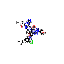 CCc1c(N2CCN(C(=O)C(C)n3cncn3)CC2)c(=O)n2nc(C3=CCOCC3)nc2n1CC(=O)Nc1ccc(C(F)(F)F)cc1Cl